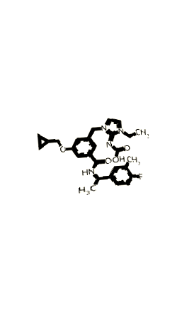 CCn1ccn(Cc2cc(OCC3CC3)cc(C(=O)NC(C)c3ccc(F)c(C)c3)c2)c1=NC(=O)O